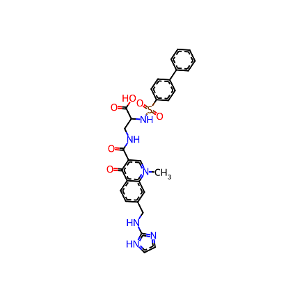 Cn1cc(C(=O)NCC(NS(=O)(=O)c2ccc(-c3ccccc3)cc2)C(=O)O)c(=O)c2ccc(CNc3ncc[nH]3)cc21